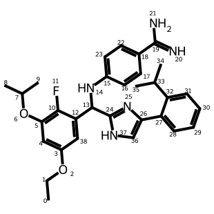 CCOc1cc(OC(C)C)c(F)c(C(Nc2ccc(C(=N)N)cc2)c2nc(-c3ccccc3C(C)C)c[nH]2)c1